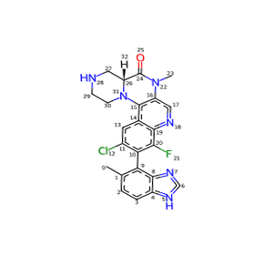 Cc1ccc2[nH]cnc2c1-c1c(Cl)cc2c3c(cnc2c1F)N(C)C(=O)[C@H]1CNCCN31